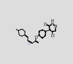 C=C(/C=C\C=C1CCC(C)CC1)Oc1ccc(-c2c(Cl)cn[nH]c2=O)cc1